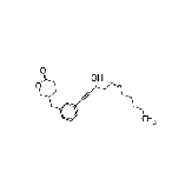 CCCCC/C=C\CC(O)C#Cc1cccc(CC2CCC(=O)OC2)c1